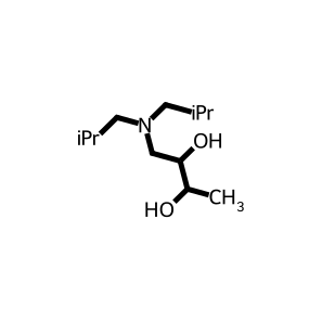 CC(C)CN(CC(C)C)CC(O)C(C)O